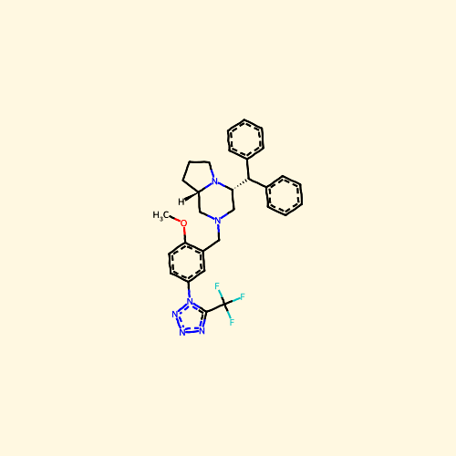 COc1ccc(-n2nnnc2C(F)(F)F)cc1CN1C[C@@H]2CCCN2[C@H](C(c2ccccc2)c2ccccc2)C1